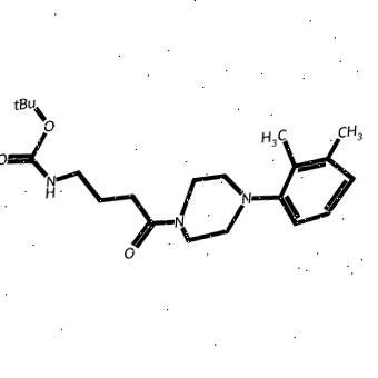 Cc1cccc(N2CCN(C(=O)CCCNC(=O)OC(C)(C)C)CC2)c1C